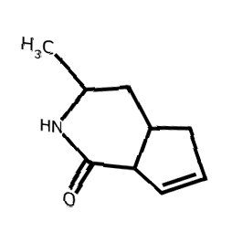 CC1CC2CC=CC2C(=O)N1